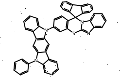 c1ccc(-n2c3ccccc3c3cc4c(cc32)c2ccccc2n4-c2ccc3c(c2)Sc2nc4ccccc4n2C32c3ccccc3-c3ccccc32)cc1